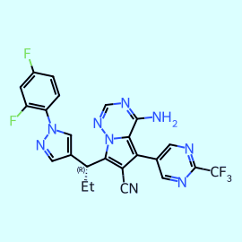 CC[C@H](c1cnn(-c2ccc(F)cc2F)c1)c1c(C#N)c(-c2cnc(C(F)(F)F)nc2)c2c(N)ncnn12